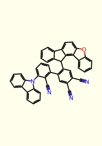 N#Cc1cc(-c2cccc(-n3c4ccccc4c4ccccc43)c2C#N)c(C2c3ccccc3-c3ccc4oc5ccccc5c4c32)cc1C#N